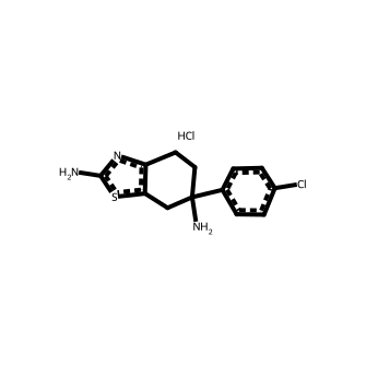 Cl.Nc1nc2c(s1)CC(N)(c1ccc(Cl)cc1)CC2